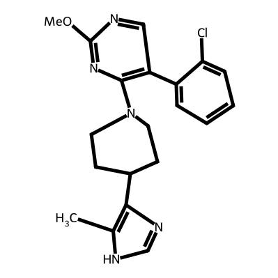 COc1ncc(-c2ccccc2Cl)c(N2CCC(c3nc[nH]c3C)CC2)n1